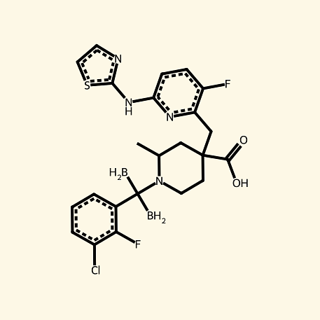 BC(B)(c1cccc(Cl)c1F)N1CCC(Cc2nc(Nc3nccs3)ccc2F)(C(=O)O)CC1C